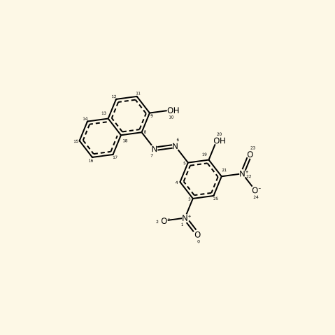 O=[N+]([O-])c1cc(N=Nc2c(O)ccc3ccccc23)c(O)c([N+](=O)[O-])c1